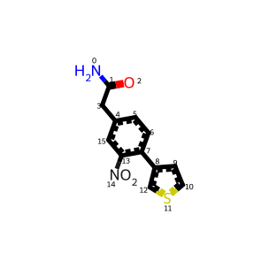 NC(=O)Cc1ccc(-c2ccsc2)c([N+](=O)[O-])c1